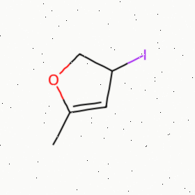 CC1=CC(I)CO1